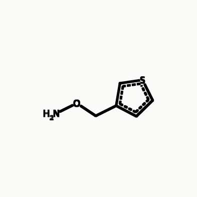 NOCc1ccsc1